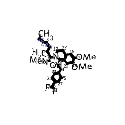 C=C(/C=C\C=C/C)[C@H](C(O)NC)N1CCc2cc(OC)c(OC)cc2[C@@H]1CCc1ccc(C(F)F)cc1